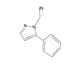 CC(C)Cn1nccc1-c1cc[c]cc1